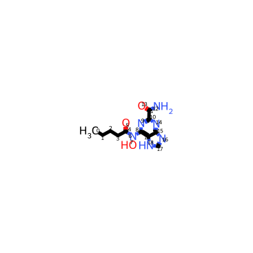 CCCCC(=O)N(O)c1nc(C(N)=O)nc2nc[nH]c12